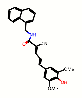 COc1cc(/C=C/C=C(\C#N)C(=O)NCc2cccc3ccccc23)cc(OC)c1O